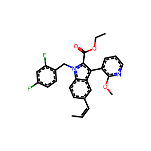 C/C=C\c1ccc2c(c1)c(-c1cccnc1OC)c(C(=O)OCC)n2Cc1ccc(F)cc1F